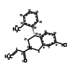 C=CC(=O)N1Cc2cc(Cl)ccc2[C@@H](c2ccccc2C)C1